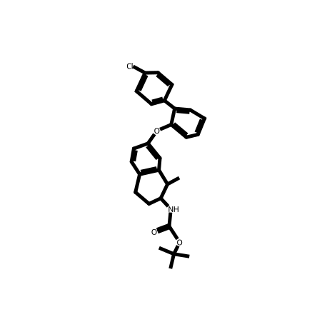 CC1c2cc(Oc3ccccc3-c3ccc(Cl)cc3)ccc2CCC1NC(=O)OC(C)(C)C